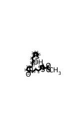 COC(=O)c1ccc(CCCN2C(=O)CC[C@@H]2CCC(O)Cc2cccs2)s1